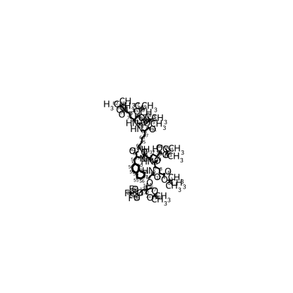 CC(C)(C)OC(=O)CCC(NC(=O)COCC1(COS(=O)(=O)C(F)(F)F)COC(C)(C)OC1)C(=O)NC(CCC(=O)OC(C)(C)C)C(=O)NC(Cc1ccc2ccccc2c1)C(=O)NCCCCC(NC(=O)NC(CCC(=O)OC(C)(C)C)C(=O)OC(C)(C)C)C(=O)OC(C)(C)C